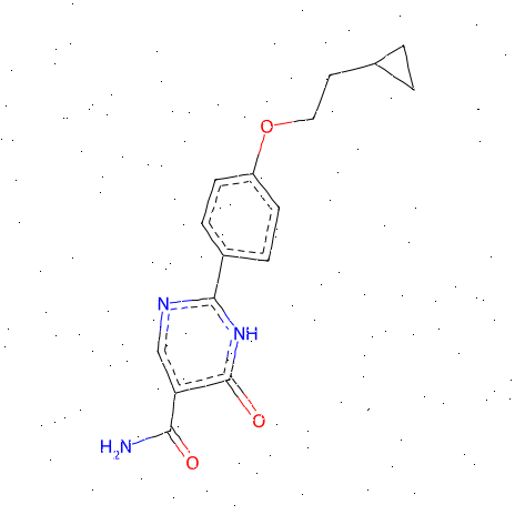 NC(=O)c1cnc(-c2ccc(OCCC3CC3)cc2)[nH]c1=O